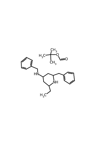 CC(C)(C)OC=O.CCC1CC(NCc2ccccc2)CC(Cc2ccccc2)N1